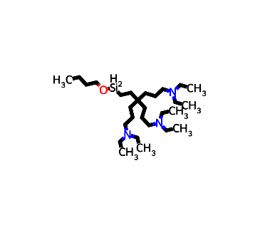 CCCCO[SiH2]CCC(CCCN(CC)CC)(CCCN(CC)CC)CCCN(CC)CC